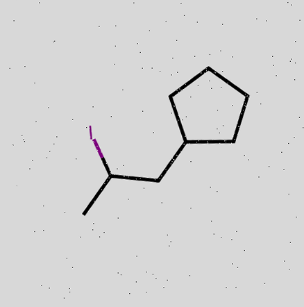 CC(I)CC1CCCC1